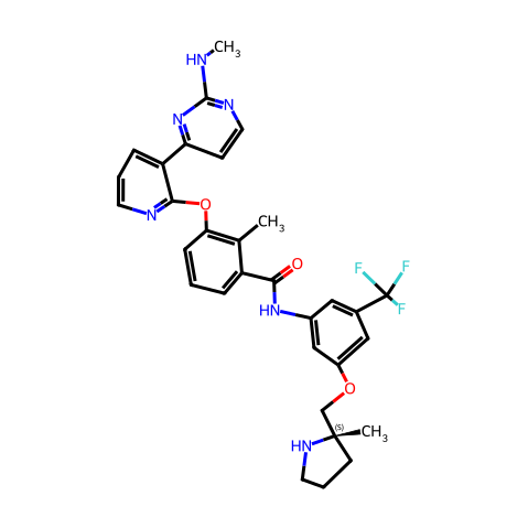 CNc1nccc(-c2cccnc2Oc2cccc(C(=O)Nc3cc(OC[C@]4(C)CCCN4)cc(C(F)(F)F)c3)c2C)n1